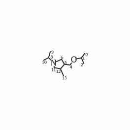 CC(C)OCC1CN(C(C)C)CC1C